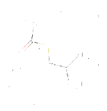 CCC(=O)SCC(C)C(=O)O